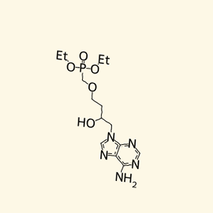 CCOP(=O)(COCCC(O)Cn1cnc2c(N)ncnc21)OCC